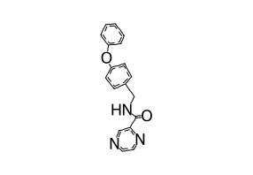 O=C(NCc1ccc(Oc2ccccc2)cc1)c1cnccn1